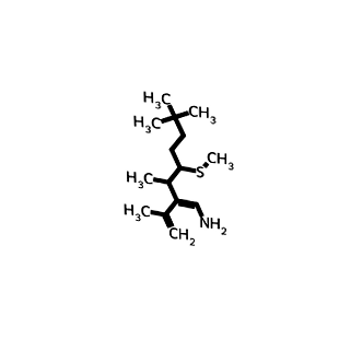 C=C(C)/C(=C\N)C(C)C(CCC(C)(C)C)SC